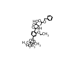 CCOc1cc(B2OC(C)(C)C(C)(C)O2)ccc1C(=O)N[C@@H](CC(=O)OCc1ccccc1)C(=O)O